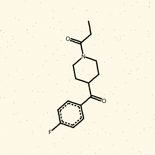 CCC(=O)N1CCC(C(=O)c2ccc(F)cc2)CC1